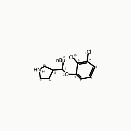 CCCC[C@@H](Oc1cccc(Cl)c1Cl)C1CCNC1